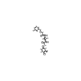 Cc1cccc(COCC(=O)NC23CC(NC(=O)COc4ccc(Cl)c(F)c4)(C2)C3)c1